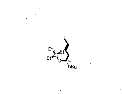 CCCC[C@@H](CC=CI)O[Si](CC)(CC)CC